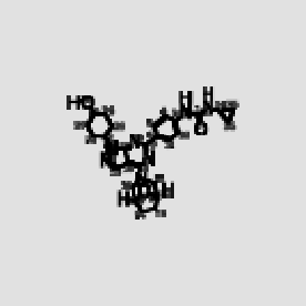 O=C(Nc1ccc(-c2nc(N3C[C@H]4CC[C@H](C3)O4)c3cnn(C4CCC(O)CC4)c3n2)cc1)NC1CC1